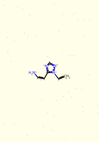 C=Cn1ncnc1/C=C\N